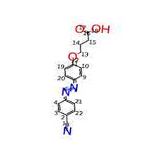 N#Cc1ccc(/N=N/c2ccc(OCCCC(=O)O)cc2)cc1